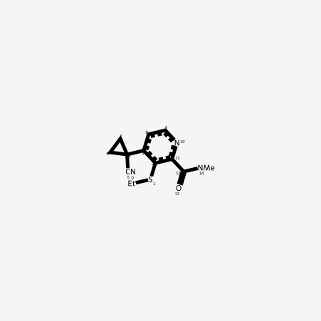 CCSc1c(C2(C#N)CC2)ccnc1C(=O)NC